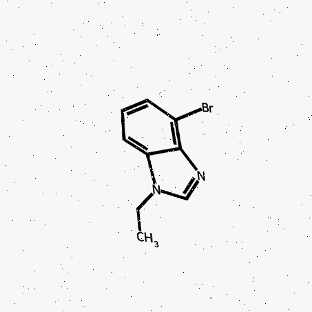 CCn1cnc2c(Br)cccc21